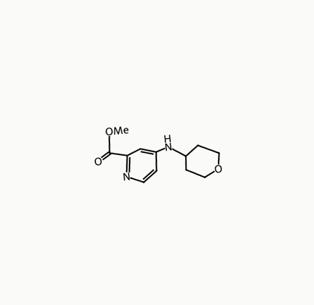 COC(=O)c1cc(NC2CCOCC2)ccn1